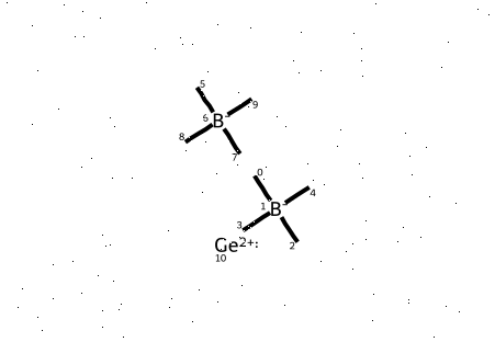 C[B-](C)(C)C.C[B-](C)(C)C.[Ge+2]